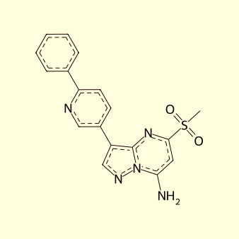 CS(=O)(=O)c1cc(N)n2ncc(-c3ccc(-c4ccccc4)nc3)c2n1